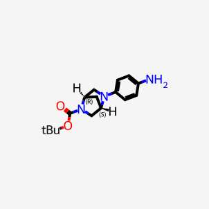 CC(C)(C)OC(=O)N1C[C@@H]2C[C@@H]1CN2c1ccc(N)cc1